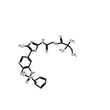 CCC(C)(C)C(=O)NCC(=O)Nc1nc(C)c(-c2cnc(Cl)c(N[SH](C)(=O)c3ccccc3)c2)s1